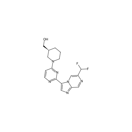 OC[C@H]1CCCN(c2ccnc(-c3cnc4cnc(C(F)F)cn34)n2)C1